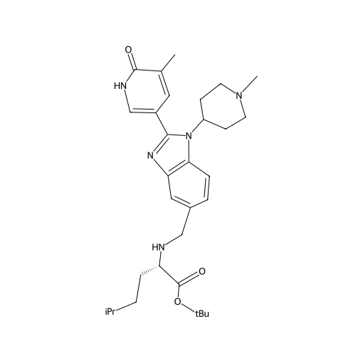 Cc1cc(-c2nc3cc(CN[C@@H](CCC(C)C)C(=O)OC(C)(C)C)ccc3n2C2CCN(C)CC2)c[nH]c1=O